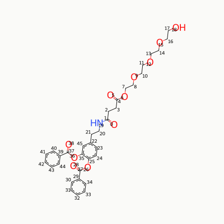 O=C(CCC(=O)OCCOCCOCCOCCO)NCCc1ccc(OC(=O)c2ccccc2)c(OC(=O)c2ccccc2)c1